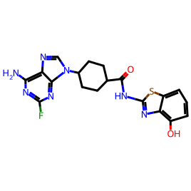 Nc1nc(F)nc2c1ncn2C1CCC(C(=O)Nc2nc3c(O)cccc3s2)CC1